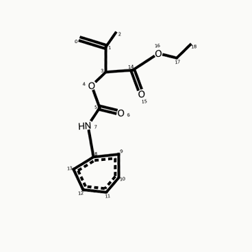 C=C(C)C(OC(=O)Nc1ccccc1)C(=O)OCC